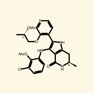 COc1c(Cl)cccc1Nc1c(-c2ccncc2OC[C@H](C)OC)[nH]c2c1C(=O)N[C@H](C)C2